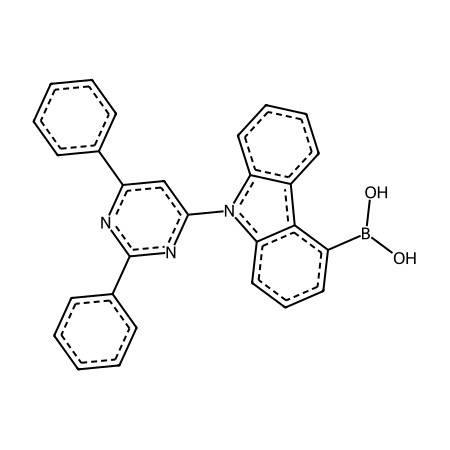 OB(O)c1cccc2c1c1ccccc1n2-c1cc(-c2ccccc2)nc(-c2ccccc2)n1